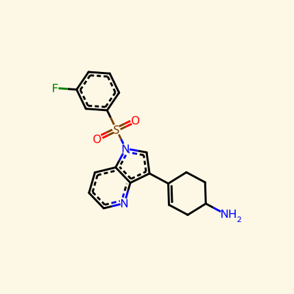 NC1CC=C(c2cn(S(=O)(=O)c3cccc(F)c3)c3cccnc23)CC1